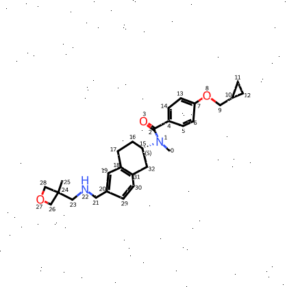 CN(C(=O)c1ccc(OCC2CC2)cc1)[C@H]1CCc2cc(CNCC3(C)COC3)ccc2C1